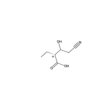 CC[C@@H](C(=O)O)C(O)CC#N